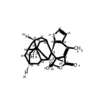 CC1=C2C(=O)OC(=O)[C@@H]2[C@@]2(c3sccc31)C1CC3C4C[C@@H]5CC3[C@H]2[C@@H](C5)[C@H]4C1